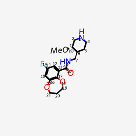 CO[C@@H]1CNCC[C@H]1CNC(=O)c1cc(F)cc2c1OCCCO2